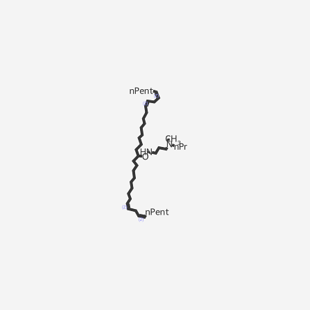 CCCCC/C=C\C/C=C\CCCCCCCCC(CCCCCCCC/C=C\C/C=C\CCCCC)ONCCCN(C)CCC